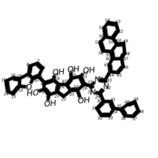 Oc1c(O)c(-c2cccc3c2oc2ccccc23)c(O)c2c1Cc1c(O)c(-c3nc(-c4cccc(-c5ccccc5)c4)nc(-c4ccc5ccc6c7ccccc7ccc6c5c4)n3)c(O)c(O)c1-2